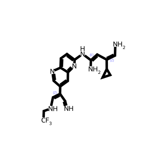 N=C/C(=C\NCC(F)(F)F)c1cnc2ccc(N/C(N)=C/C(=C\N)C3CC3)nc2c1